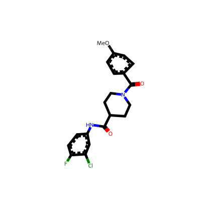 COc1ccc(C(=O)N2CCC(C(=O)Nc3ccc(F)c(Cl)c3)CC2)cc1